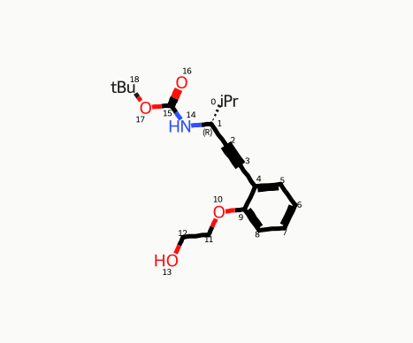 CC(C)[C@H](C#Cc1ccccc1OCCO)NC(=O)OC(C)(C)C